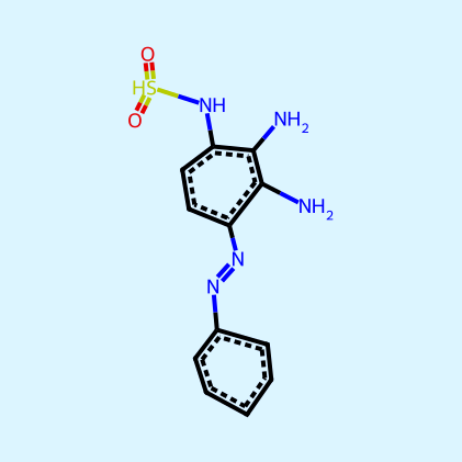 Nc1c(N=Nc2ccccc2)ccc(N[SH](=O)=O)c1N